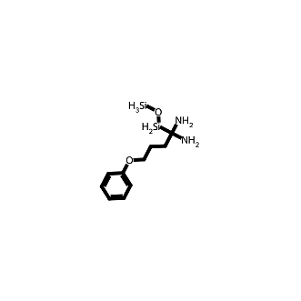 NC(N)(CCCOc1ccccc1)[SiH2]O[SiH3]